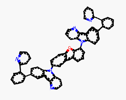 c1ccc(-c2ccccc2-c2ccc3c(c2)c2ncccc2n3-c2ccc3oc4c(-n5c6ccc(-c7ccccc7-c7ccccn7)cc6c6ncccc65)cccc4c3c2)nc1